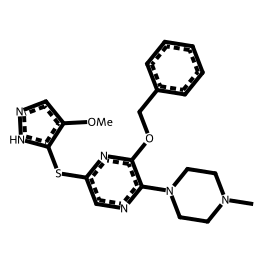 COc1cn[nH]c1Sc1cnc(N2CCN(C)CC2)c(OCc2ccccc2)n1